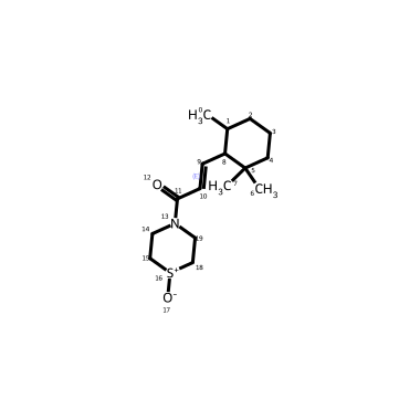 CC1CCCC(C)(C)C1/C=C/C(=O)N1CC[S+]([O-])CC1